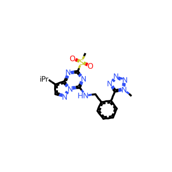 CC(C)c1cnn2c(NCc3ccccc3-c3nnnn3C)nc(S(C)(=O)=O)nc12